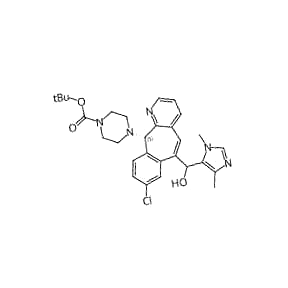 Cc1ncn(C)c1C(O)C1=Cc2cccnc2[C@@H](N2CCN(C(=O)OC(C)(C)C)CC2)c2ccc(Cl)cc21